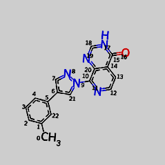 Cc1cccc(-c2cnn(-c3nccc4c(=O)[nH]cnc34)c2)c1